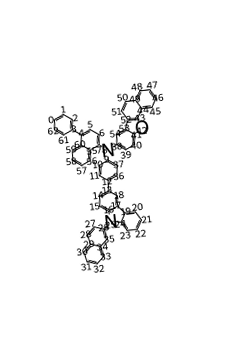 c1ccc(-c2ccc(N(c3ccc(-c4ccc5c(c4)c4ccccc4n5-c4ccc5ccccc5c4)cc3)c3ccc4oc5c6ccccc6ccc5c4c3)c3ccccc23)cc1